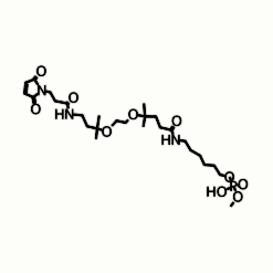 COP(=O)(O)OCCCCCCNC(=O)CCC(C)(C)OCCOC(C)(C)CCNC(=O)CCN1C(=O)C=CC1=O